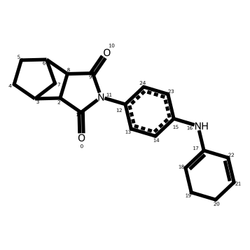 O=C1C2C3CCC(C3)C2C(=O)N1c1ccc(NC2=CCCC=C2)cc1